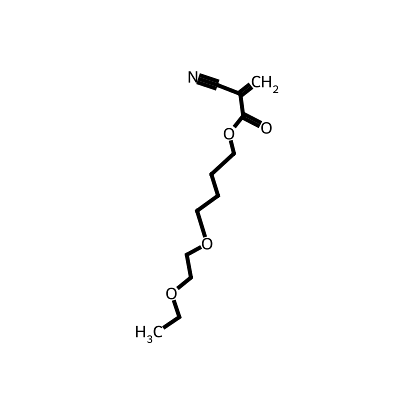 C=C(C#N)C(=O)OCCCCOCCOCC